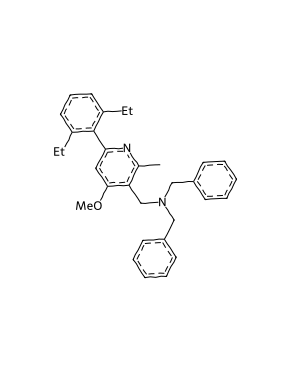 CCc1cccc(CC)c1-c1cc(OC)c(CN(Cc2ccccc2)Cc2ccccc2)c(C)n1